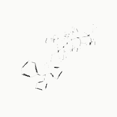 BrC(Br)(Br)C(Br)(Br)C(Br)(Br)C(Br)(Br)C(Br)(Br)C(Br)(Br)CCOC(c1ccccc1)(c1ccccc1)c1ccccc1